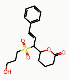 O=C1CCCC(C(C=Cc2ccccc2)S(=O)(=O)CCCO)O1